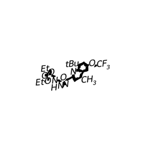 CCOP(=O)(CNc1nnc(-c2cc(C)c3cc(OCC(F)(F)F)cc(C(C)(C)C)c3n2)o1)OCC